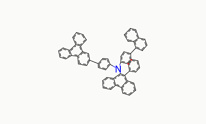 c1ccc(-c2c(N(c3ccc(-c4ccc5c6ccccc6c6ccccc6c5c4)cc3)c3ccc(-c4cccc5ccccc45)cc3)c3ccccc3c3ccccc23)cc1